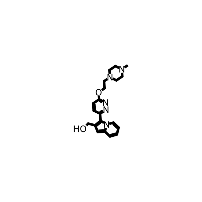 CN1CCN(CCOc2ccc(-c3c(CO)cc4ccccn34)nn2)CC1